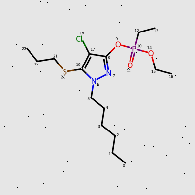 CCCCCCn1nc(OP(=O)(CC)OCC)c(Cl)c1SCCC